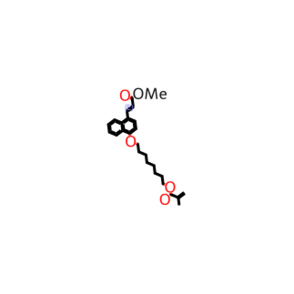 C=C(C)C(=O)OCCCCCCCCOc1ccc(/C=C/C(=O)OC)c2ccccc12